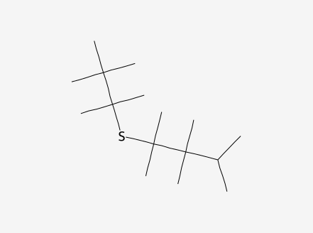 CC(C)C(C)(C)C(C)(C)SC(C)(C)C(C)(C)C